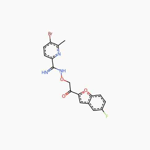 Cc1nc(C(=N)NOCC(=O)c2cc3cc(F)ccc3o2)ccc1Br